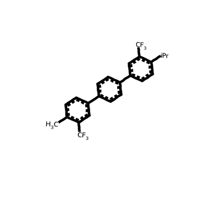 Cc1ccc(-c2ccc(-c3ccc(C(C)C)c(C(F)(F)F)c3)cc2)cc1C(F)(F)F